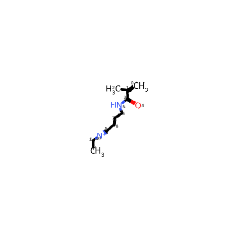 C=C(C)C(=O)NCCCC#[N+]CC